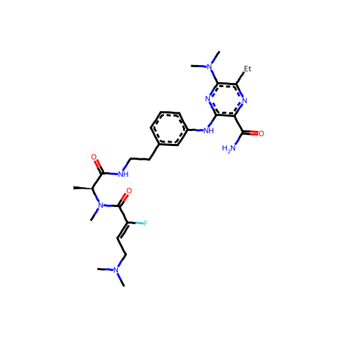 CCc1nc(C(N)=O)c(Nc2cccc(CCNC(=O)[C@H](C)N(C)C(=O)/C(F)=C/CN(C)C)c2)nc1N(C)C